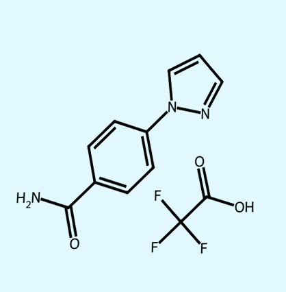 NC(=O)c1ccc(-n2cccn2)cc1.O=C(O)C(F)(F)F